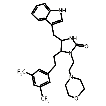 O=C1NC(Cc2c[nH]c3ccccc23)C(CCc2cc(C(F)(F)F)cc(C(F)(F)F)c2)N1CCN1CCOCC1